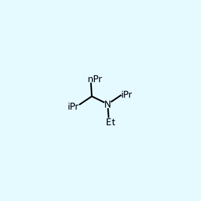 CCCC(C(C)C)N(CC)C(C)C